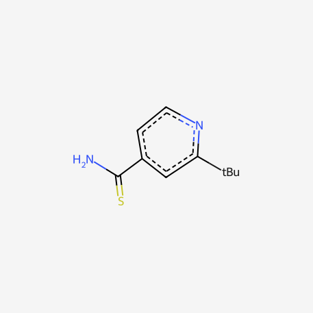 CC(C)(C)c1cc(C(N)=S)ccn1